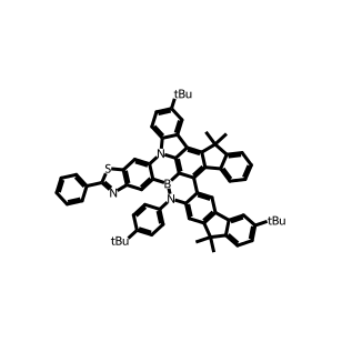 CC(C)(C)c1ccc(N2B3c4cc5nc(-c6ccccc6)sc5cc4-n4c5ccc(C(C)(C)C)cc5c5c6c(c(c3c54)-c3cc4c(cc32)C(C)(C)c2ccc(C(C)(C)C)cc2-4)-c2ccccc2C6(C)C)cc1